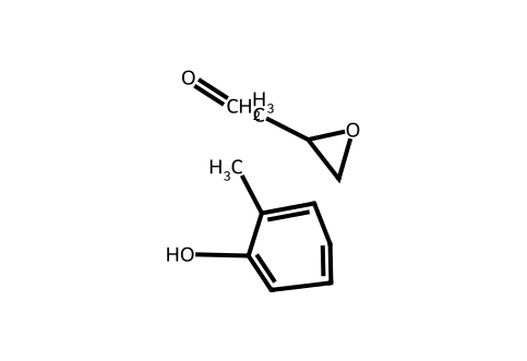 C=O.CC1CO1.Cc1ccccc1O